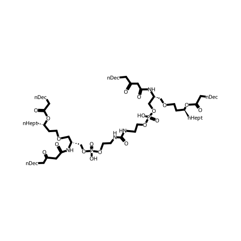 CCCCCCCCCCCC(=O)CC(=O)N[C@H](COCC[C@H](CCCCCCC)OC(=O)CCCCCCCCCCC)COP(=O)(O)OCCNC(=O)NCCOP(=O)(O)OC[C@@H](COCC[C@H](CCCCCCC)OC(=O)CCCCCCCCCCC)NC(=O)CC(=O)CCCCCCCCCCC